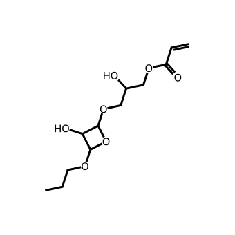 C=CC(=O)OCC(O)COC1OC(OCCC)C1O